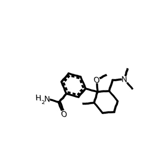 COC1(c2cccc(C(N)=O)c2)C(C)CCCC1CN(C)C